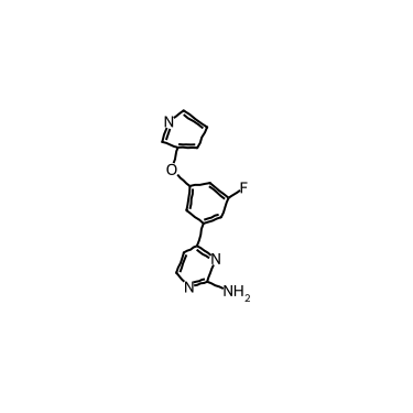 Nc1nccc(-c2cc(F)cc(Oc3cccnc3)c2)n1